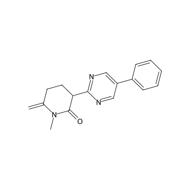 C=C1CCC(c2ncc(-c3ccccc3)cn2)C(=O)N1C